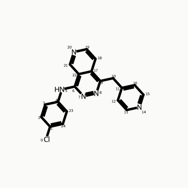 Clc1ccc(Nc2nnc(Cc3ccncc3)c3ccncc23)cc1